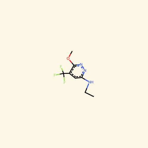 CCNc1cc(C(F)(F)F)c(OC)nn1